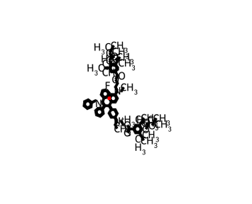 CCN(CCOC(=O)c1cc(C(C)(C)C)c(OC(=O)OC(C)(C)C)c(C(C)(C)C)c1)c1ccc(C(=C2C=CC(=[N+](CC)CCOC(=O)c3cc(C(C)(C)C)c(OC(=O)OC(C)(C)C)c(C(C)(C)C)c3)C=C2)c2c(-c3ccc(F)cc3)n(Cc3ccccc3)c3ccccc23)cc1